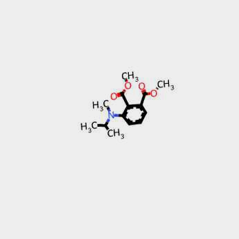 COC(=O)c1cccc(N(C)C(C)C)c1C(=O)OC